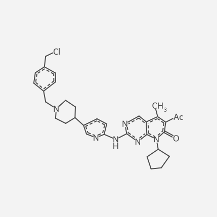 CC(=O)c1c(C)c2cnc(Nc3ccc(C4CCN(Cc5ccc(CCl)cc5)CC4)cn3)nc2n(C2CCCC2)c1=O